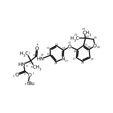 CC(C)(C)OC(=O)NC(C)(C)C(=O)Nc1ccc(Oc2cccc3c2C(C)(C)CO3)nc1